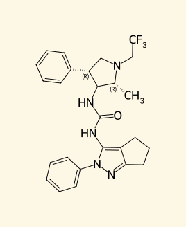 C[C@@H]1C(NC(=O)Nc2c3c(nn2-c2ccccc2)CCC3)[C@H](c2ccccc2)CN1CC(F)(F)F